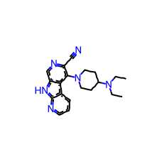 CCN(CC)C1CCN(c2c(C#N)ncc3[nH]c4ncccc4c23)CC1